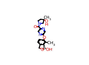 Cc1c(Oc2cnc(C(=O)N3CCC(C)(O)C3)cn2)ccc2c1B(O)OC2